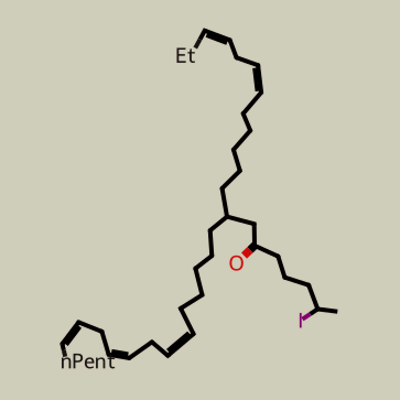 CC/C=C\C/C=C\CCCCCC(CCCCC/C=C\C/C=C\C/C=C\CCCCC)CC(=O)CCCC(C)I